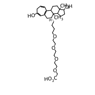 CC12CCC3C4=C(C=C(O)CC=C4)C[C@@H](CCCCOCCOCCOCCOCC(=O)O)C3(C)C1CCC2O